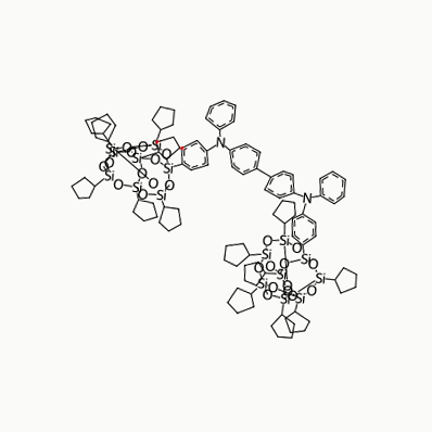 c1ccc(N(c2ccc(-c3ccc(N(c4ccccc4)c4ccc([Si]56O[Si]7(C8CCCC8)O[Si]8(C9CCCC9)O[Si](C9CCCC9)(O5)O[Si]5(C9CCCC9)O[Si](C9CCCC9)(O6)O[Si](C6CCCC6)(O7)O[Si](C6CCCC6)(O8)O5)cc4)cc3)cc2)c2ccc([Si]34O[Si]5(C6CCCC6)O[Si]6(C7CCCC7)O[Si](C7CCCC7)(O3)O[Si]3(C7CCCC7)O[Si](C7CCCC7)(O4)O[Si](C4CCCC4)(O5)O[Si](C4CCCC4)(O6)O3)cc2)cc1